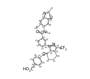 Cc1nc2cc(F)c(N(C)C(=O)c3cccc(-n4nc(C(F)(F)F)c5c4C(Oc4ccc(C(=O)O)cc4)CCC5)c3)cc2o1